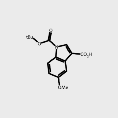 COc1ccc2c(c1)c(C(=O)O)cn2C(=O)OC(C)(C)C